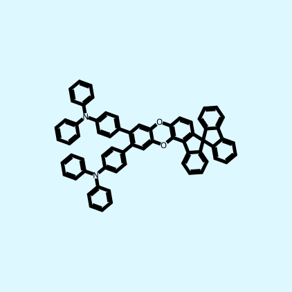 c1ccc(N(c2ccccc2)c2ccc(-c3cc4c(cc3-c3ccc(N(c5ccccc5)c5ccccc5)cc3)Oc3c(ccc5c3-c3ccccc3C53c5ccccc5-c5ccccc53)O4)cc2)cc1